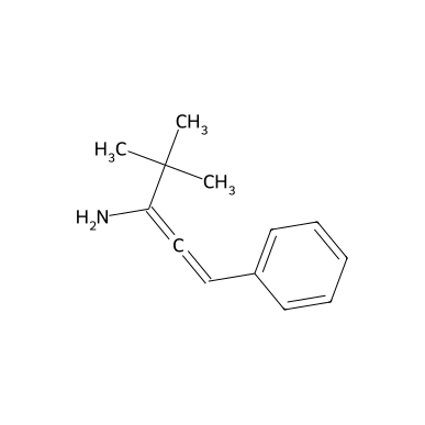 CC(C)(C)C(N)=C=Cc1ccccc1